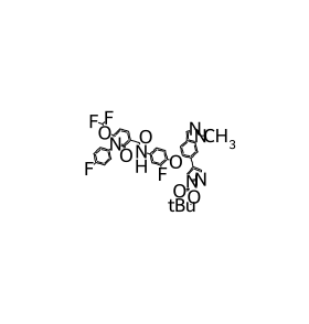 Cn1ncc2cc(Oc3ccc(NC(=O)c4ccc(OC(F)F)n(-c5ccc(F)cc5)c4=O)cc3F)c(-c3cnn(C(=O)OC(C)(C)C)c3)cc21